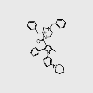 Cc1cc(C(=O)N2CCN(Cc3ccccc3)C[C@H]2Cc2ccccc2)c(-c2ccccc2)n1-c1cccc(N2CCCCC2)c1